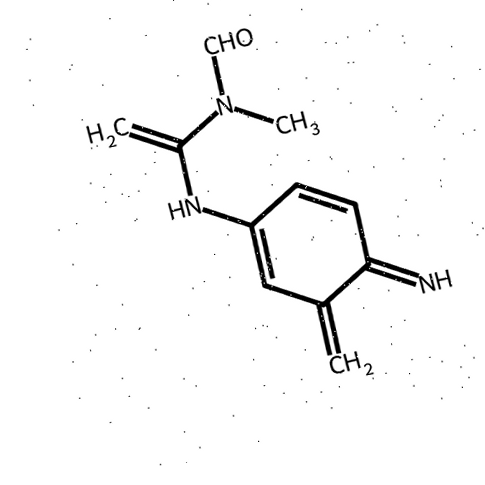 C=C1C=C(NC(=C)N(C)C=O)C=CC1=N